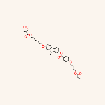 C=CC(=O)OCCCCOc1ccc(C(=O)Oc2ccc3c(c2)C(C)c2cc(OCCCCCCOC(=O)C(=C)CO)ccc2-3)cc1